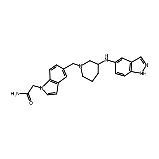 NC(=O)Cn1ccc2cc(CN3CCCC(Nc4ccc5[nH]ncc5c4)C3)ccc21